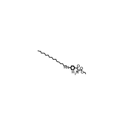 CCCCCCCCCCCCCCCCNc1ccc(C(=O)N(N)C(=O)OCC)cc1